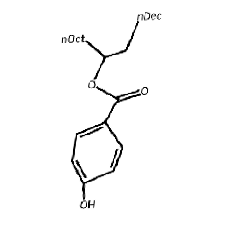 CCCCCCCCCCCC(CCCCCCCC)OC(=O)c1ccc(O)cc1